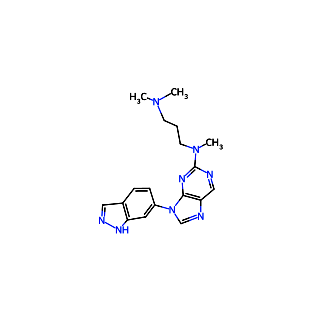 CN(C)CCCN(C)c1ncc2ncn(-c3ccc4cn[nH]c4c3)c2n1